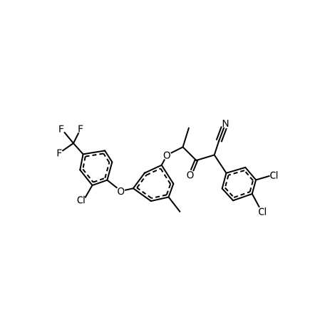 Cc1cc(Oc2ccc(C(F)(F)F)cc2Cl)cc(OC(C)C(=O)C(C#N)c2ccc(Cl)c(Cl)c2)c1